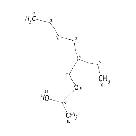 CCCCC(CC)COC(C)O